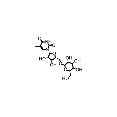 O=c1[nH]c(=O)n([C@@H]2O[C@H](CO[C@@H]3O[C@H](CO)[C@H](O)[C@H](O)[C@H]3O)[C@@H](O)[C@H]2O)cc1F